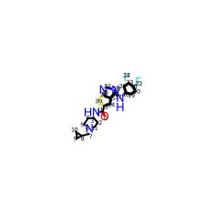 O=C(NC1CCN(CC2CC2)CC1)c1cc2c(Nc3ccc(F)c(F)c3)ncnc2s1